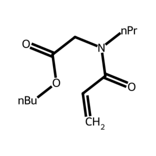 C=CC(=O)N(CCC)CC(=O)OCCCC